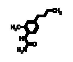 CCCCc1ccc(NC(N)=O)c(C)c1